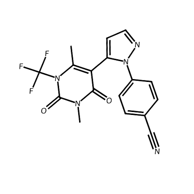 Cc1c(-c2ccnn2-c2ccc(C#N)cc2)c(=O)n(C)c(=O)n1C(F)(F)F